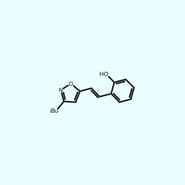 CCC(C)c1cc(/C=C/c2ccccc2O)on1